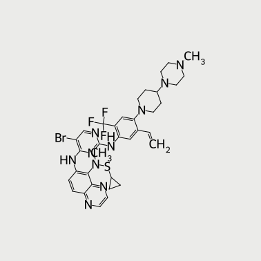 C=Cc1cc(Nc2ncc(Br)c(Nc3ccc4nccnc4c3N(C)SC3CC3)n2)c(C(F)(F)F)cc1N1CCC(N2CCN(C)CC2)CC1